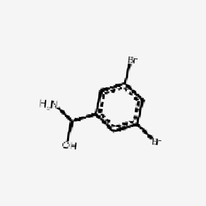 NC(O)c1cc(Br)cc(Br)c1